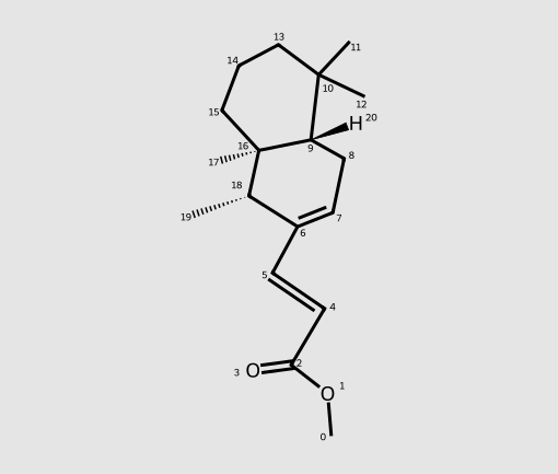 COC(=O)/C=C/C1=CC[C@H]2C(C)(C)CCC[C@]2(C)[C@H]1C